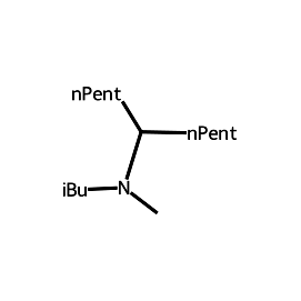 CCCCCC(CCCCC)N(C)C(C)CC